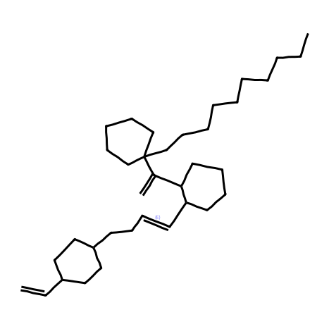 C=CC1CCC(CC/C=C/C2CCCCC2C(=C)C2(CCCCCCCCCC)CCCCC2)CC1